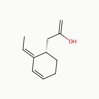 C=C(O)C[C@@H]1CCC=C/C1=C/C